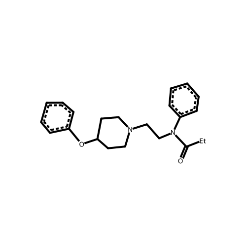 CCC(=O)N(CCN1CCC(Oc2ccccc2)CC1)c1ccccc1